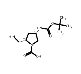 CC(C)(C)OC(=O)N[C@H]1C[C@@H](CN)N(C(=O)O)C1